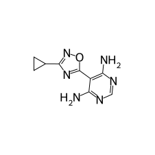 Nc1ncnc(N)c1-c1nc(C2CC2)no1